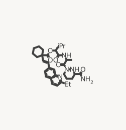 CCc1ccc2ccc(/C=C/C3(C(=O)OC(C(=O)NC(C)C(=O)N4CCCC(C(N)=O)N4)C(C)C)CCCCC3)cc2n1